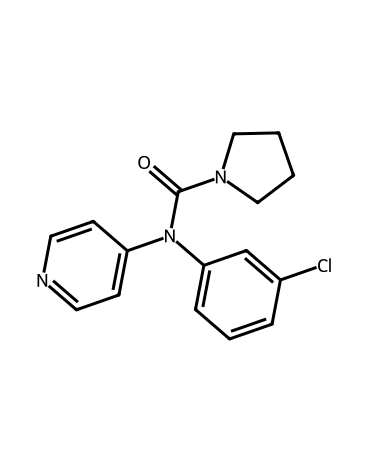 O=C(N1CCCC1)N(c1ccncc1)c1cccc(Cl)c1